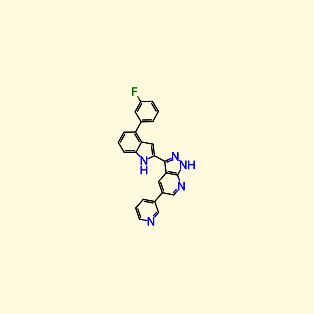 Fc1cccc(-c2cccc3[nH]c(-c4n[nH]c5ncc(-c6cccnc6)cc45)cc23)c1